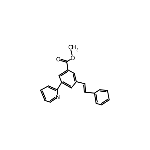 COC(=O)c1cc(C=Cc2ccccc2)cc(-c2ccccn2)c1